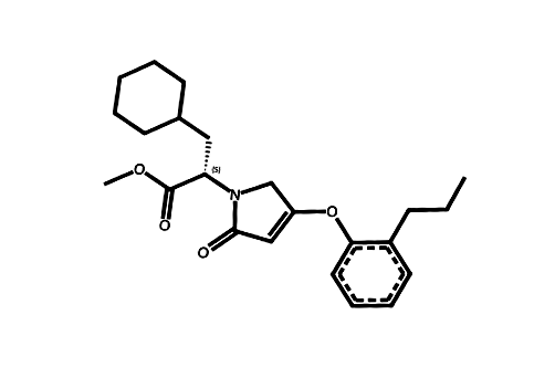 CCCc1ccccc1OC1=CC(=O)N([C@@H](CC2CCCCC2)C(=O)OC)C1